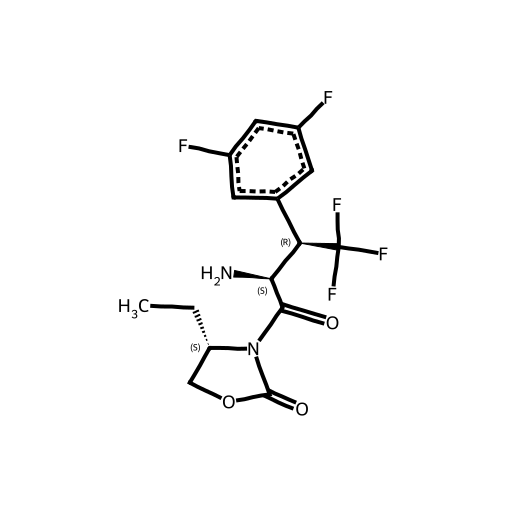 CC[C@H]1COC(=O)N1C(=O)[C@@H](N)[C@@H](c1cc(F)cc(F)c1)C(F)(F)F